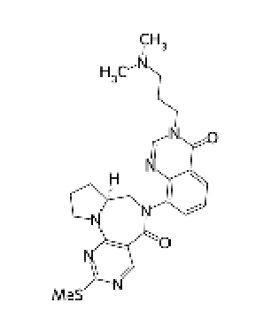 CSc1ncc2c(n1)N1CCC[C@H]1CN(c1cccc3c(=O)n(CCCN(C)C)cnc13)C2=O